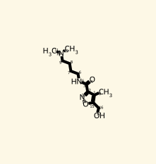 Cc1c(C(=O)NCCCCN(C)C)noc1CO